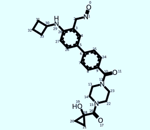 O=NCc1cc(-c2ccc(C(=O)N3CCN(C(=O)C4(O)CC4)CC3)cc2)ccc1NC1CCC1